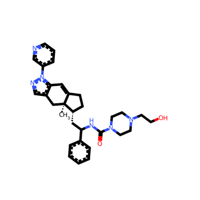 C[C@]12Cc3cnn(-c4cccnc4)c3C=C1CC[C@@H]2CC(NC(=O)N1CCN(CCO)CC1)c1ccccc1